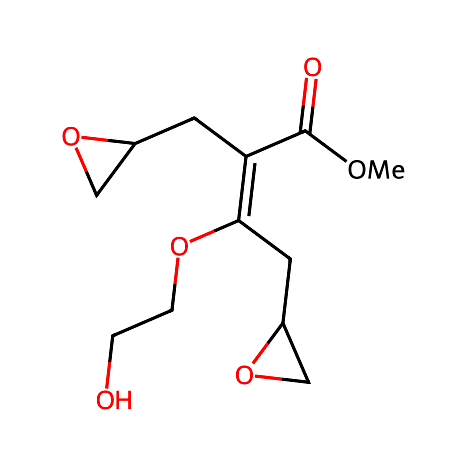 COC(=O)C(CC1CO1)=C(CC1CO1)OCCO